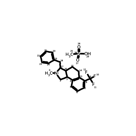 CN1CC2c3cccc(C(F)(F)F)c3CCC2C1Cc1ccccc1.CS(=O)(=O)O